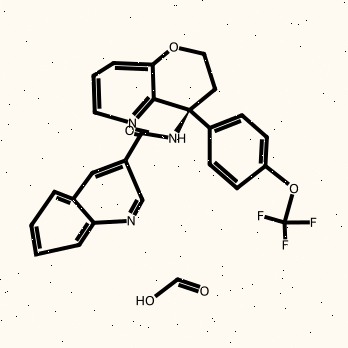 O=C(N[C@]1(c2ccc(OC(F)(F)F)cc2)CCOc2cccnc21)c1cnc2ccccc2c1.O=CO